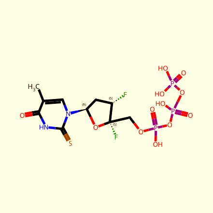 Cc1cn([C@H]2C[C@H](F)[C@@](F)(COP(=O)(O)OP(=O)(O)OP(=O)(O)O)O2)c(=S)[nH]c1=O